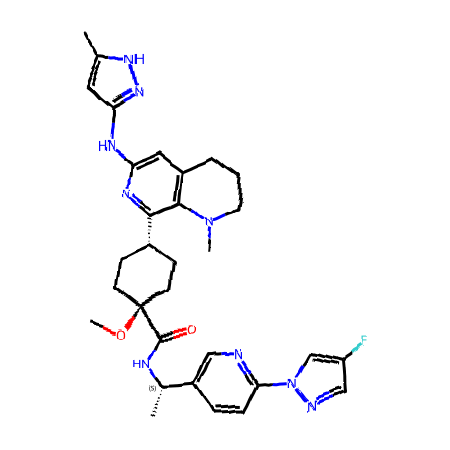 CO[C@]1(C(=O)N[C@@H](C)c2ccc(-n3cc(F)cn3)nc2)CC[C@@H](c2nc(Nc3cc(C)[nH]n3)cc3c2N(C)CCC3)CC1